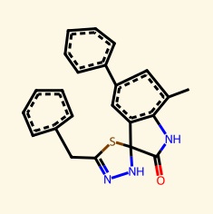 Cc1cc(-c2ccccc2)cc2c1NC(=O)C21NN=C(Cc2ccccc2)S1